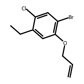 C=CCOc1cc(CC)c(Cl)cc1Br